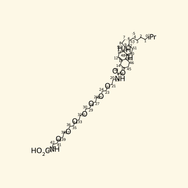 CC(C)CCC[C@@H](C)[C@H]1CC[C@H]2[C@@H]3CC=C4C[C@@H](OC(=O)NCCOCCOCCOCCOCCOCCOCCOCCNC(=O)O)CC[C@]4(C)[C@H]3CC[C@]12C